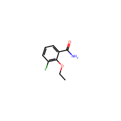 CCOc1c(F)cccc1C(N)=O